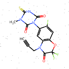 C#CCN1C(=O)C(F)(F)Oc2cc(F)c(-n3c(=O)[nH]c(=S)n(C)c3=O)cc21